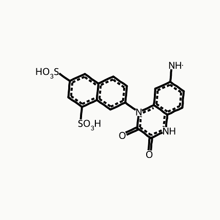 [NH]c1ccc2[nH]c(=O)c(=O)n(-c3ccc4cc(S(=O)(=O)O)cc(S(=O)(=O)O)c4c3)c2c1